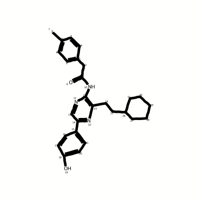 O=C(Cc1ccc(I)cc1)Nc1ncc(-c2ccc(O)cc2)nc1CCC1CCCCC1